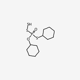 O=P(OC1CCCCC1)(SS)SC1CCCCC1